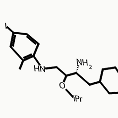 Cc1cc(I)ccc1NCC(OC(C)C)[C@H](N)CC1CCCCC1